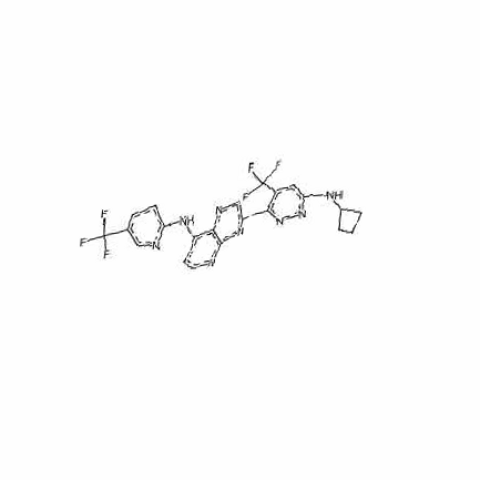 FC(F)(F)c1ccc(Nc2ccnc3nc(-c4nnc(NC5CCC5)cc4C(F)(F)F)cnc23)nc1